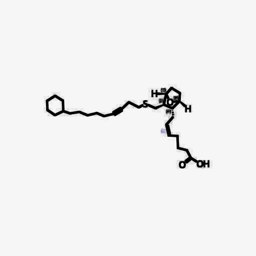 O=C(O)CCC/C=C\C[C@@H]1[C@@H](CSCCC#CCCCCCC2CCCCC2)[C@@H]2CC[C@H]1O2